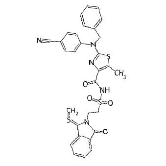 C=S=C1c2ccccc2C(=O)N1CCS(=O)(=O)NC(=O)c1nc(N(Cc2ccccc2)c2ccc(C#N)cc2)sc1C